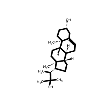 CC([C@H]1CC[C@H]2[C@@H]3CC=C4C[C@@H](O)CC[C@]4(C)[C@H]3CC[C@]12C)C(C)(C)O